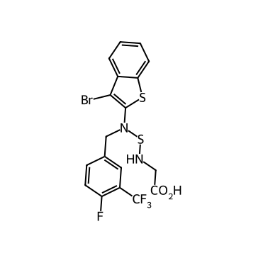 O=C(O)CNSN(Cc1ccc(F)c(C(F)(F)F)c1)c1sc2ccccc2c1Br